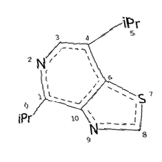 CC(C)c1ncc(C(C)C)c2scnc12